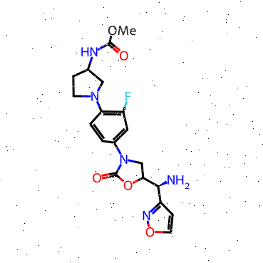 COC(=O)NC1CCN(c2ccc(N3CC([C@@H](N)c4ccon4)OC3=O)cc2F)C1